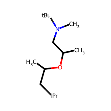 CC(C)CC(C)OC(C)CN(C)C(C)(C)C